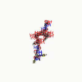 CCCCC(CC(CC(CC)C(=O)NCCNC(=O)COC1C(COCCC)OC(OCC2OC(OCC3OC(OCC4OC(CCC)C(O)C(O)C4O)C(OCC(=O)NCCNCC(=O)O)C(O)C3O)C(O)C(O)C2O)C(O)C1O)C(=O)NCCSC)C(=O)NCCSC